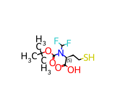 CC(C)(C)OC(=O)N(C(F)F)[C@@H](CCS)C(=O)O